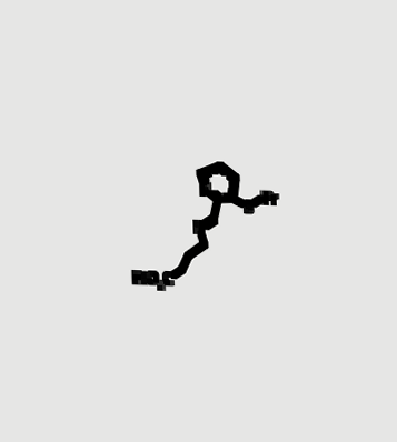 CCOC(=O)CCC/N=C/c1ncccc1SC(C)C